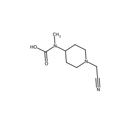 CN(C(=O)O)C1CCN(CC#N)CC1